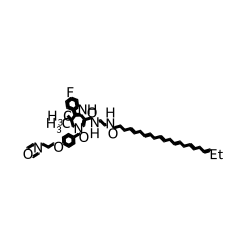 CCC=CCC=CCC=CCC=CCC=CCC=CCCC(=O)NCCNC(=O)C1=CN(C(=O)c2ccc(OCCCN3CCOCC3)cc2)CC(C)(C)c2c1[nH]c1cc(F)ccc21